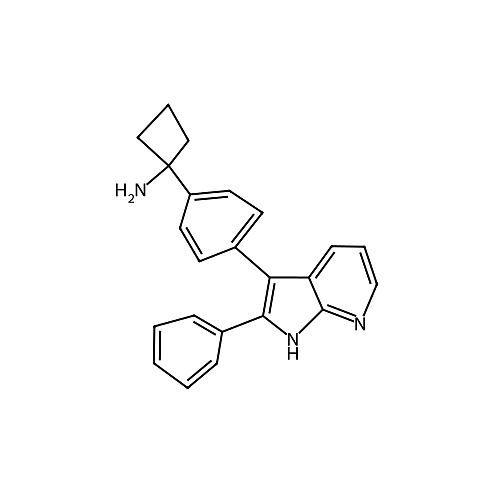 NC1(c2ccc(-c3c(-c4ccccc4)[nH]c4ncccc34)cc2)CCC1